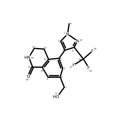 Cn1cc(-c2cc(CO)cc3c2CCNC3=O)c(C(F)(F)F)n1